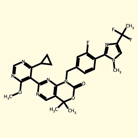 COc1ncnc(C2CC2)c1-c1ncc2c(n1)N(Cc1ccc(-c3nc(C(C)(F)F)cn3C)c(F)c1)C(=O)OC2(C)C